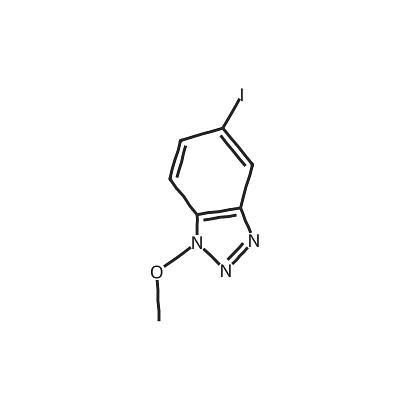 COn1nnc2cc(I)ccc21